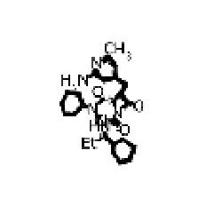 CC[C@@H](NC(=O)N1C(=O)C(Cc2cc(C)nc(N)c2)[C@H]1C(=O)N(C)C1CCCCC1)C1CCCCC1